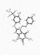 Cn1c(=O)c2c(nc(Oc3ccc(Cl)c(C(C)(F)F)c3)n2CCc2ccc(Cl)cc2)n(C)c1=O